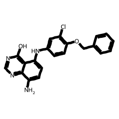 Nc1ccc(Nc2ccc(OCc3ccccc3)c(Cl)c2)c2c(O)ncnc12